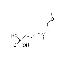 COCCN(C)CCCP(=O)(O)O